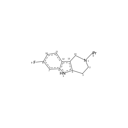 CC(C)N1CCc2[nH]c3cc(F)ccc3c2C1